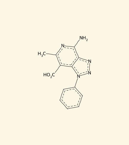 Cc1nc(N)c2nnn(-c3ccccc3)c2c1C(=O)O